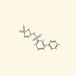 O=S1(=O)C=CC(OS(=O)(=O)c2cccc(-c3ccccc3)c2)C1